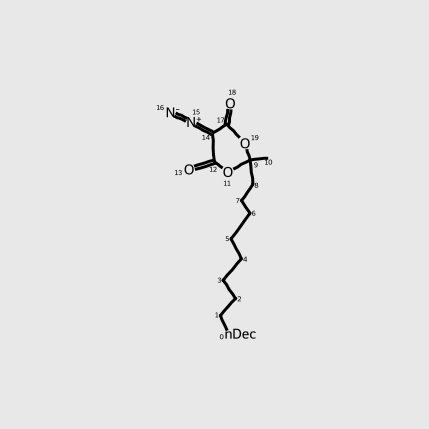 CCCCCCCCCCCCCCCCCCC1(C)OC(=O)C(=[N+]=[N-])C(=O)O1